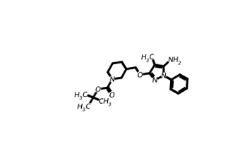 Cc1c(OCC2CCCN(C(=O)OC(C)(C)C)C2)nn(-c2ccccc2)c1N